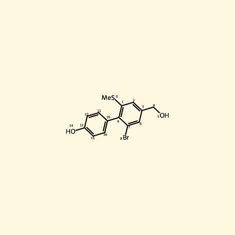 CSc1cc(CO)cc(Br)c1-c1ccc(O)cc1